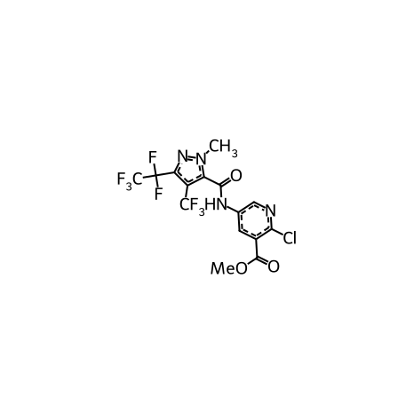 COC(=O)c1cc(NC(=O)c2c(C(F)(F)F)c(C(F)(F)C(F)(F)F)nn2C)cnc1Cl